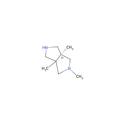 CN1CC2(C)CNC[C@@]2(C)C1